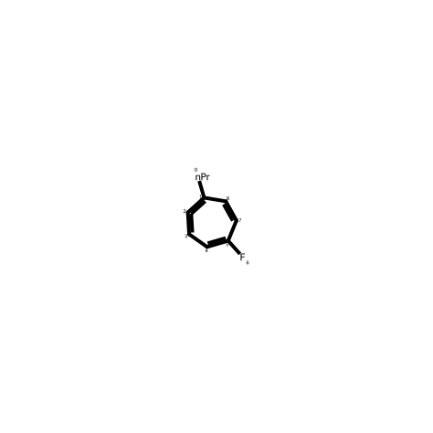 CCCC1=C=CC=C(F)C=C1